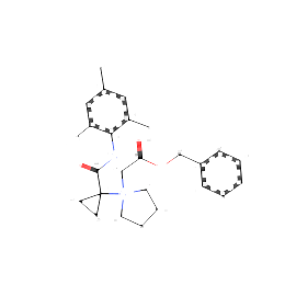 CCOC(=O)c1cc(C)cc(C)c1NC(=O)C1([N+]2(CC(=O)OCc3ccccc3)CCCC2)CC1